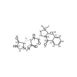 C[Si]1(C)C[C@@H](C(=O)N[C@@H](C[C@@H]2CCNC2=O)C(N)=O)N(C(=O)c2ccccc2Cl)C1